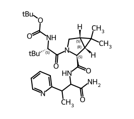 CC(c1ccccn1)C(NC(=O)[C@@H]1[C@@H]2[C@H](CN1C(=O)[C@@H](NC(=O)OC(C)(C)C)C(C)(C)C)C2(C)C)C(N)=O